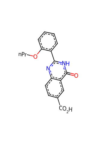 CCCOc1ccccc1-c1nc2ccc(C(=O)O)cc2c(=O)[nH]1